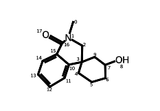 CN1CC2(CCCC(O)C2)c2ccccc2C1=O